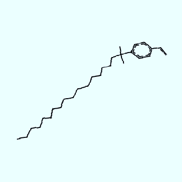 C=Cc1ccc(C(C)(C)CCCCCCCCCCCCCCCCC)cc1